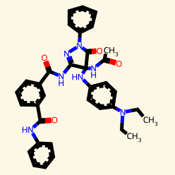 CCN(CC)c1ccc(NC2(NC(C)=O)C(=O)N(c3ccccc3)N=C2NC(=O)c2cccc(C(=O)Nc3ccccc3)c2)cc1